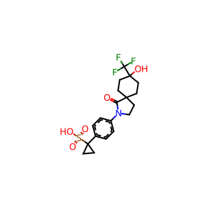 O=C1N(c2ccc(C3(S(=O)(=O)O)CC3)cc2)CCC12CCC(O)(C(F)(F)F)CC2